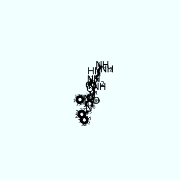 N=C(N)NCCC[C@@H](NC(=O)CN1CN(c2ccccc2)C2(CCN(Cc3cccc4ccccc34)CC2)C1=O)C(N)=O